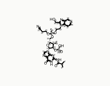 CC(C)C(=O)Nc1nc2c(ncn2[C@@H]2O[C@H](COP(=S)(OCCC#N)OCCn3c(CO)nc4cnccc43)[C@@H](F)[C@H]2O[PH](=O)O)c(=O)[nH]1